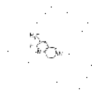 Cc1cc2c(nc1I)CCNC2